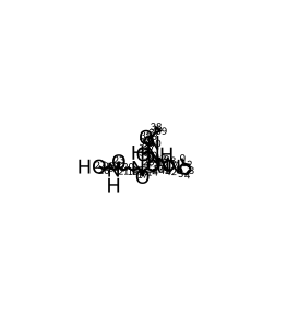 Cc1ccccc1N1CCN(C2(C)C=CC(C(=O)NCCCC(=O)NCCO)=CC2NC(=O)c2coc(C3CC3)n2)CC1